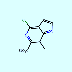 CCOC(=O)C1=NC(Cl)=C2C=CN=C2C1C